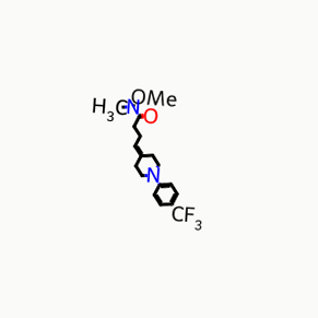 CON(C)C(=O)CCC=C1CCN(c2ccc(C(F)(F)F)cc2)CC1